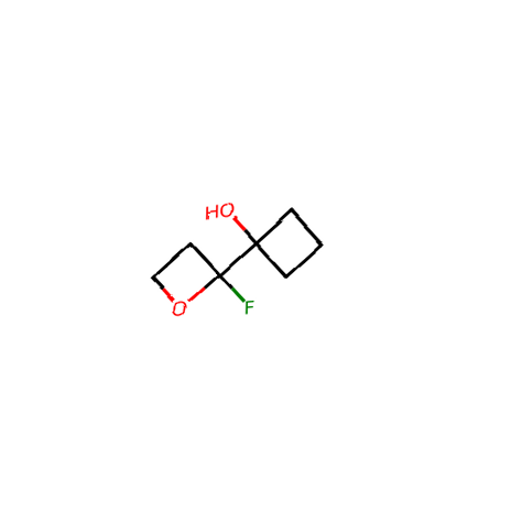 OC1(C2(F)CCO2)CCC1